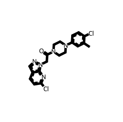 Cc1cc(N2CCN(C(=O)Cn3ncc4ccc(Cl)nc43)CC2)ccc1Cl